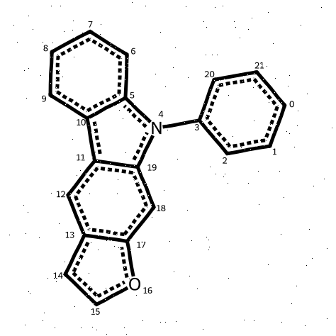 c1ccc(-n2c3ccccc3c3cc4ccoc4cc32)cc1